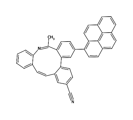 Cc1nc2ccccc2ccc2cc(C#N)ccc2c2cc(-c3ccc4ccc5cccc6ccc3c4c56)ccc12